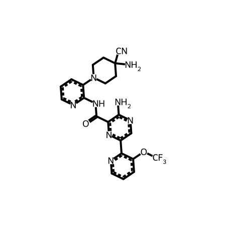 N#CC1(N)CCN(c2cccnc2NC(=O)c2nc(-c3ncccc3OC(F)(F)F)cnc2N)CC1